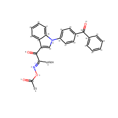 CCCCCC/C(=N\OC(=O)CC)C(=O)c1cn(-c2ccc(C(=O)c3ccccc3)cc2)c2ccccc12